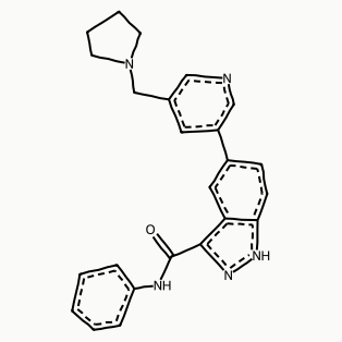 O=C(Nc1ccccc1)c1n[nH]c2ccc(-c3cncc(CN4CCCC4)c3)cc12